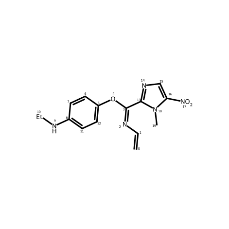 C=CN=C(Oc1ccc(NCC)cc1)c1ncc([N+](=O)[O-])n1C